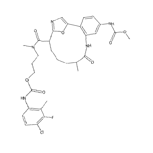 COC(=O)Nc1ccc2c(c1)NC(=O)C(C)CCCC(C(=O)N(C)CCCOC(=O)Nc1ccc(Cl)c(F)c1C)c1ncc-2o1